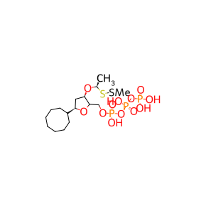 CSS[C@H](C)O[C@@H]1C[C@H](C2CCCCCCC2)OC1COP(=O)(O)OP(=O)(O)OP(=O)(O)O